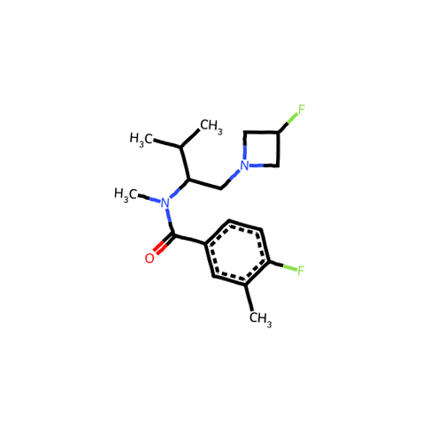 Cc1cc(C(=O)N(C)C(CN2CC(F)C2)C(C)C)ccc1F